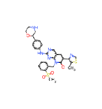 Cc1scnc1-c1cc2cnc(Nc3ccc(C4CNCCO4)cc3)nc2n(Cc2ccccc2S(C)(=O)=O)c1=O